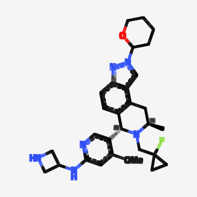 COc1cc(NC2CNC2)ncc1[C@@H]1c2ccc3nn(C4CCCCO4)cc3c2C[C@@H](C)N1CC1(F)CC1